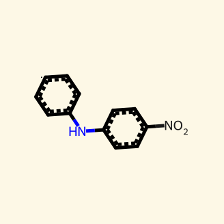 O=[N+]([O-])c1ccc(Nc2cc[c]cc2)cc1